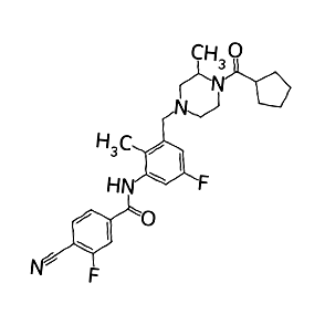 Cc1c(CN2CCN(C(=O)C3CCCC3)C(C)C2)cc(F)cc1NC(=O)c1ccc(C#N)c(F)c1